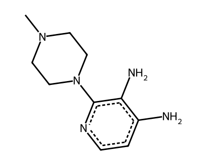 CN1CCN(c2nccc(N)c2N)CC1